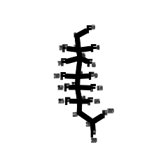 FCC(F)(F)C(F)(F)C(F)(F)C(F)(F)C(F)(F)C[C](F)F